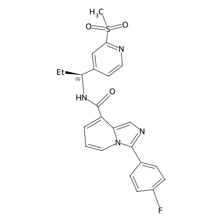 CC[C@H](NC(=O)c1cccn2c(-c3ccc(F)cc3)ncc12)c1ccnc(S(C)(=O)=O)c1